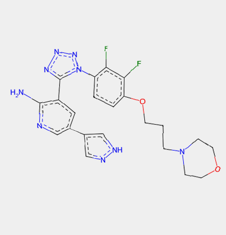 Nc1ncc(-c2cn[nH]c2)cc1-c1nnnn1-c1ccc(OCCCN2CCOCC2)c(F)c1F